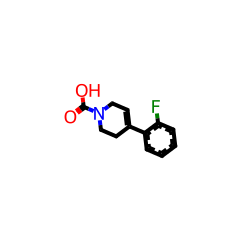 O=C(O)N1CC=C(c2ccccc2F)CC1